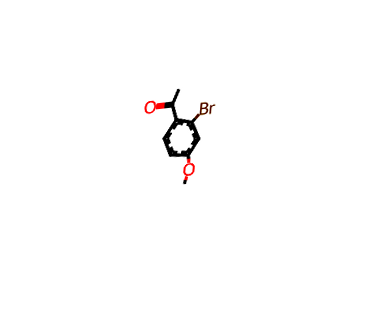 COc1ccc(C(C)=O)c(Br)c1